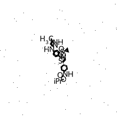 Cc1cc(Nc2ccc(-c3ncc([C@H]4CC[C@@H](NC(=O)OC(C)C)CC4)s3)c(S(=O)(=O)C3CC3)c2)n[nH]1